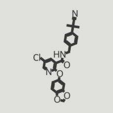 CC(C)(C#N)c1ccc(CNC(=O)c2cc(Cl)cnc2Oc2ccc3c(c2)OCO3)cc1